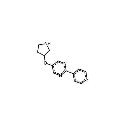 c1cc(-c2ncc(OC3CCNC3)cn2)ccn1